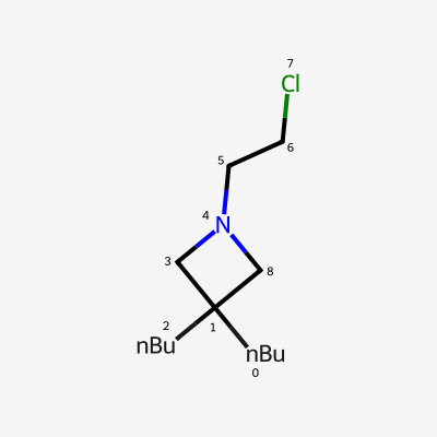 CCCCC1(CCCC)CN(CCCl)C1